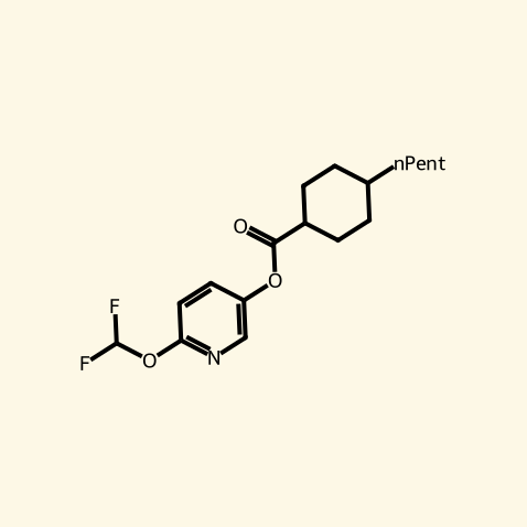 CCCCCC1CCC(C(=O)Oc2ccc(OC(F)F)nc2)CC1